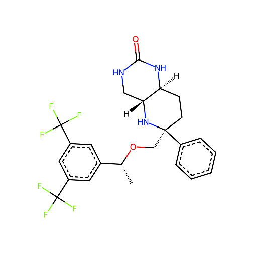 C[C@@H](OC[C@@]1(c2ccccc2)CC[C@@H]2NC(=O)NC[C@H]2N1)c1cc(C(F)(F)F)cc(C(F)(F)F)c1